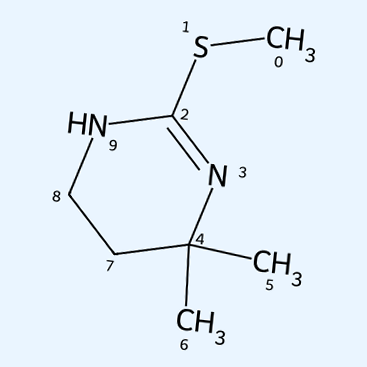 CSC1=NC(C)(C)CCN1